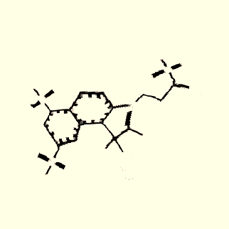 CC1=[N+](CCC(C)S(=O)(=O)[O-])c2ccc3c(S(=O)(=O)[O-])cc(S(=O)(=O)[O-])cc3c2C1(C)C.[Na+].[Na+]